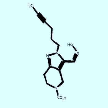 O=C(O)N1CCc2nn(CCCC#CC(F)(F)F)c(/C=N\O)c2C1